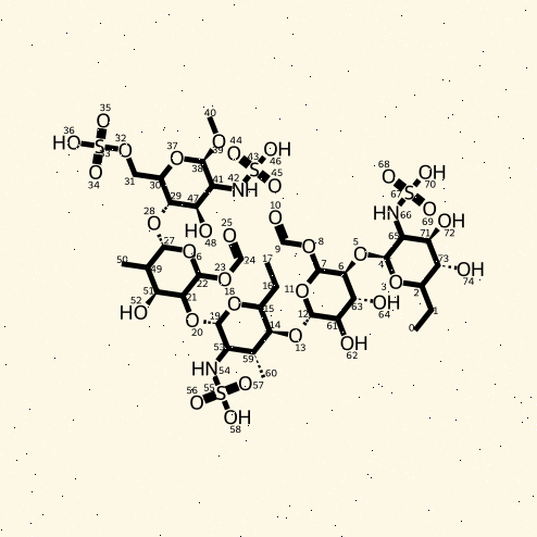 CCC1O[C@@H](O[C@@H]2C(OC=O)O[C@@H](O[C@@H]3C(CC)O[C@@H](OC4C(OC=O)O[C@@H](O[C@@H]5C(COS(=O)(=O)O)O[C@@H](OC)C(NS(=O)(=O)O)[C@H]5O)C(C)[C@@H]4O)C(NS(=O)(=O)O)[C@H]3C)C(O)[C@H]2O)C(NS(=O)(=O)O)[C@@H](O)[C@@H]1O